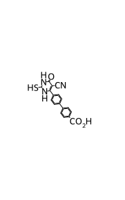 N#CC1=C(c2ccc(-c3ccc(C(=O)O)cc3)cc2)NC(S)NC1=O